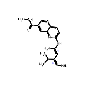 CNC(=O)c1cnc2ccc(N/C(N)=C/C(=C\N)C(C)C)nc2c1